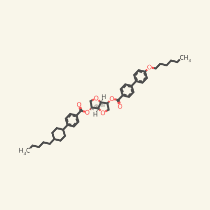 CCCCCCOc1ccc(-c2ccc(C(=O)OC3CO[C@H]4[C@@H](OC(=O)c5ccc(C6CCC(CCCCC)CC6)cc5)CO[C@@H]34)cc2)cc1